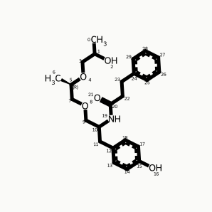 CC(O)CO[C@H](C)COCC(Cc1ccc(O)cc1)NC(=O)CCc1ccccc1